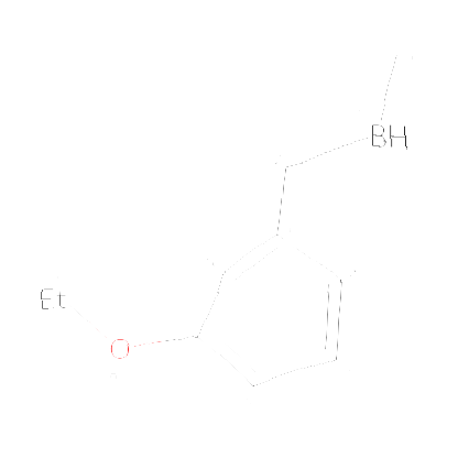 CBCc1cccc(OCC)c1